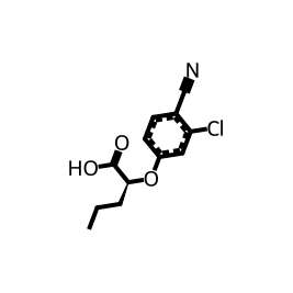 CCC[C@H](Oc1ccc(C#N)c(Cl)c1)C(=O)O